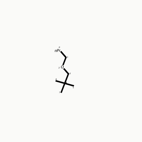 CCCCO[CH]C(C)(C)C